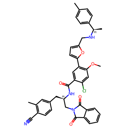 COc1cc(Cl)c(C(=O)N[C@H](Cc2ccc(C#N)c(C)c2)CN2C(=O)c3ccccc3C2=O)cc1-c1ccc(CN[C@H](C)c2ccc(C)cc2)o1